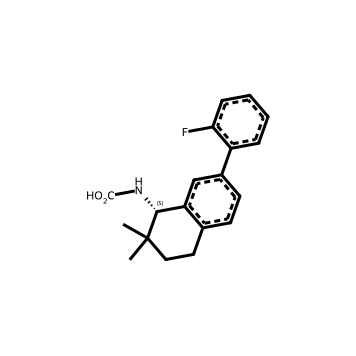 CC1(C)CCc2ccc(-c3ccccc3F)cc2[C@H]1NC(=O)O